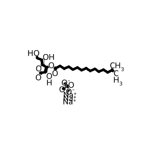 CC(C)CCCCCCCCCCCCC(=O)OC1=C(O)C(=O)O[C@@H]1[C@@H](O)CO.O=P([O-])([O-])[O-].[Na+].[Na+].[Na+]